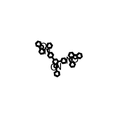 c1ccc(-c2nc3c(-c4ccc(N(c5ccccc5)c5cccc6c5oc5ccccc56)cc4)cc(-c4ccc(N(c5ccccc5)c5cccc6c5oc5ccccc56)cc4)cc3o2)cc1